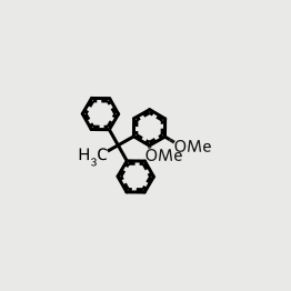 COc1cccc(C(C)(c2ccccc2)c2ccccc2)c1OC